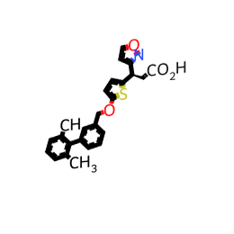 Cc1cccc(C)c1-c1cccc(COc2ccc([C@H](CC(=O)O)c3ccon3)s2)c1